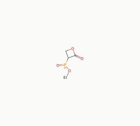 CCO[PH](=O)C1COC1=O